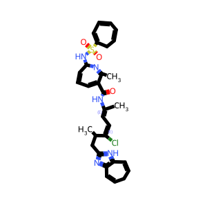 CC1=NC(NS(=O)(=O)C2=CC=CC=CC2)C=CC=C1C(=O)N/C(C)=C/C=C(/Cl)C(C)Cc1nc2c([nH]1)C=CCC=C2